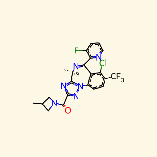 CC1CN(C(=O)c2nc3n(n2)-c2ccc(C(F)(F)F)c(Cl)c2C(c2ncccc2F)=N[C@H]3C)C1